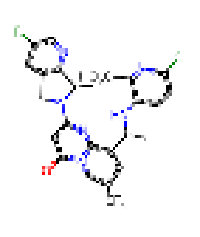 C[C@@H]1c2ncc(F)cc2CN1c1cc(=O)n2cc(C(F)(F)F)cc([C@@H](C)Nc3ccc(Cl)nc3C(=O)O)c2n1